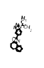 CC(C)n1nnc2cc(-c3nc4c(o3)CCCc3ccccc3-4)ccc21